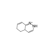 C1=CC2=[N+]NC=CC2CC1